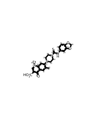 CCn1cc(C(=O)O)c(=O)c2cc(F)c(N3CCN(C(=S)Nc4ccc5c(c4)OCO5)CC3)cc21